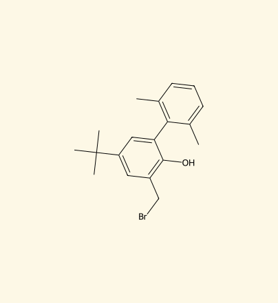 Cc1cccc(C)c1-c1cc(C(C)(C)C)cc(CBr)c1O